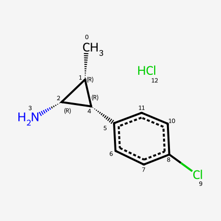 C[C@H]1[C@@H](N)[C@H]1c1ccc(Cl)cc1.Cl